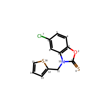 S=c1oc2ccc(Cl)cc2n1Cc1cccs1